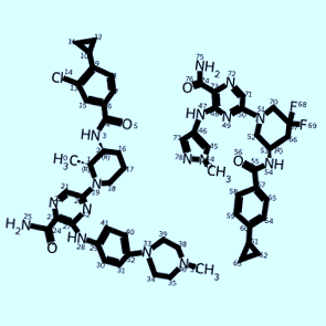 C[C@@H]1[C@H](NC(=O)c2ccc(C3CC3)c(Cl)c2)CCCN1c1cnc(C(N)=O)c(Nc2ccc(N3CCN(C)CC3)cc2)n1.Cn1cc(Nc2nc(N3C[C@H](NC(=O)c4ccc(C5CC5)cc4)CC(F)(F)C3)cnc2C(N)=O)cn1